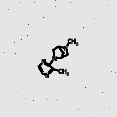 Cc1nccnc1N1CC2CC1CN2C